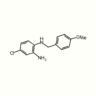 COc1ccc(CNc2ccc(Cl)cc2N)cc1